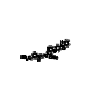 COc1cc2c(Oc3ccc(NC(=O)c4ccccc4)cc3)ccnc2cc1OCCCNc1cccc(CC(=O)O)c1